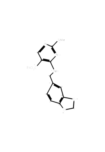 CCOC(=O)c1cnc(SC)nc1NCc1ccc2c(c1)OCO2